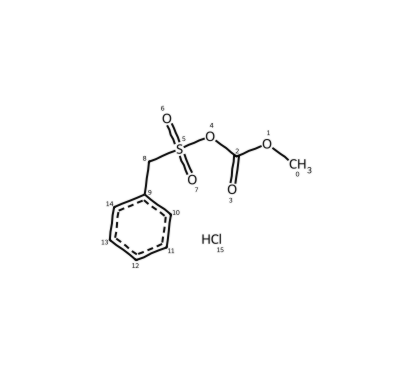 COC(=O)OS(=O)(=O)Cc1ccccc1.Cl